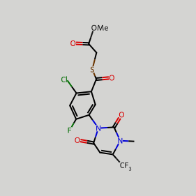 COC(=O)CSC(=O)c1cc(-n2c(=O)cc(C(F)(F)F)n(C)c2=O)c(F)cc1Cl